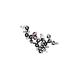 Cc1ccc(NC(=O)c2ccnc(C(F)(F)F)c2)cc1-c1cc(-c2cnn(CCc3ccc(NC(=O)c4ccnc(C(F)(F)F)c4)cc3-c3cc(-c4c(C)nn(Cc5ccc(NC(=O)c6ccnc(C(F)(F)F)c6)cc5-c5cc(N6CCNCC6)nc(N6CCOCC6)c5)c4C)nc(N4CCOCC4)c3)c2)nc(N2CCOCC2)c1